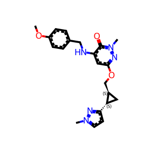 COc1ccc(CNc2cc(OC[C@H]3C[C@@H]3c3ccn(C)n3)nn(C)c2=O)cc1